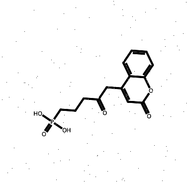 O=C(CCCP(=O)(O)O)Cc1cc(=O)oc2ccccc12